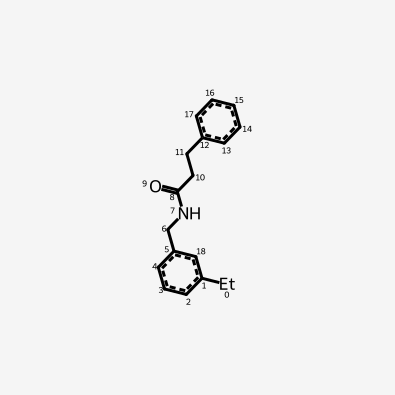 CCc1cccc(CNC(=O)CCc2ccccc2)c1